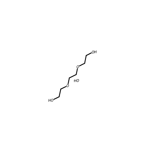 OCCOCCOCCO.[OH]